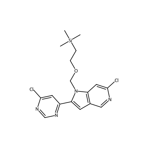 C[Si](C)(C)CCOCn1c(-c2cc(Cl)ncn2)cc2cnc(Cl)cc21